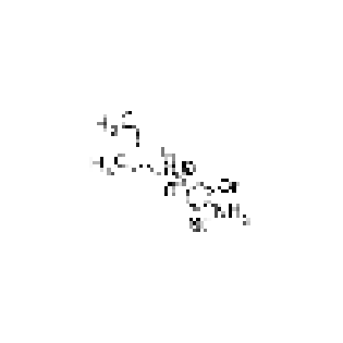 CCCCC(CC)CNS(=O)(=O)c1cc(Br)c(N)c(Br)c1